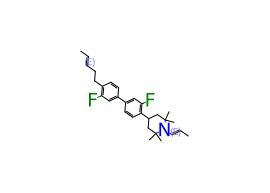 C/C=C/CCc1ccc(-c2ccc(C3CC(C)(C)N(/C=C/C)C(C)(C)C3)c(F)c2)cc1F